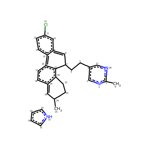 Cc1ncc(CCC2C=c3cc(Cl)ccc3=c3ccc4c(c32)CCC(C)C=4)cn1.c1cc[nH]c1